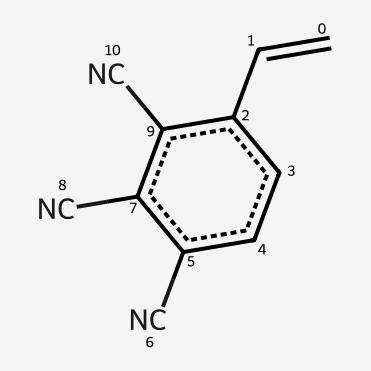 C=Cc1ccc(C#N)c(C#N)c1C#N